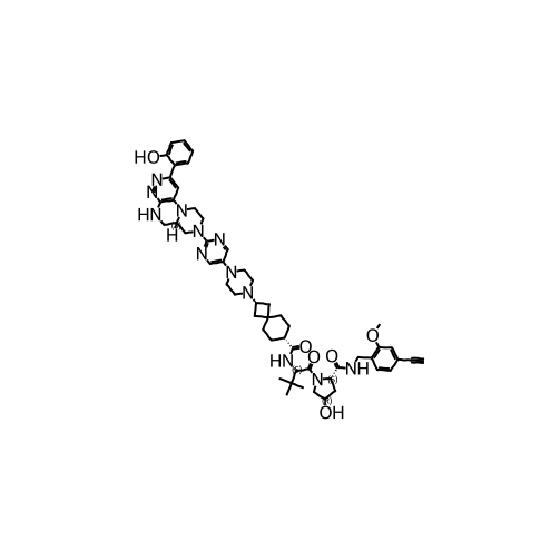 C#Cc1ccc(CNC(=O)[C@@H]2C[C@@H](O)CN2C(=O)[C@@H](NC(=O)[C@H]2CCC3(CC2)C[C@H](N2CCN(c4cnc(N5CCN6c7cc(-c8ccccc8O)nnc7NC[C@H]6C5)nc4)CC2)C3)C(C)(C)C)c(OC)c1